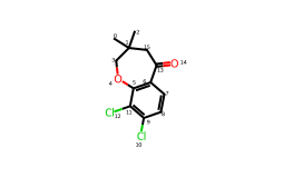 CC1(C)COc2c(ccc(Cl)c2Cl)C(=O)C1